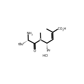 CC(=C[C@H](C(C)C)N(C)C(=O)[C@@H](N)C(C)(C)C)C(=O)O.Cl